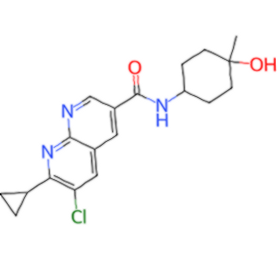 CC1(O)CCC(NC(=O)c2cnc3nc(C4CC4)c(Cl)cc3c2)CC1